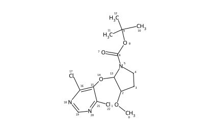 COC1CCN(C(=O)OC(C)(C)C)C1Oc1c(Cl)ncnc1Cl